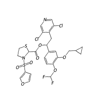 O=C(OC(Cc1c(Cl)cncc1Cl)c1ccc(OC(F)F)c(OCC2CC2)c1)C1SCCN1S(=O)(=O)c1ccoc1